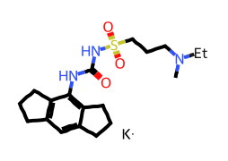 CCN(C)CCCS(=O)(=O)NC(=O)Nc1c2c(cc3c1CCC3)CCC2.[K]